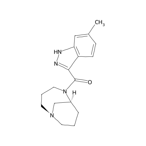 Cc1ccc2c(C(=O)N3CCC[N@]4CCC[C@H]3C4)n[nH]c2c1